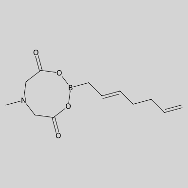 C=CCC/C=C/CB1OC(=O)CN(C)CC(=O)O1